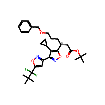 CC(C)(C)OC(=O)C[C@H](CCCOCc1ccccc1)c1onc(-c2cc(C(F)(F)C(C)(C)C)on2)c1C1CC1